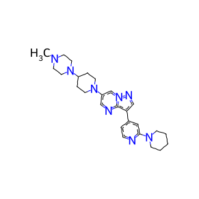 CN1CCN(C2CCN(c3cnc4c(-c5ccnc(N6CCCCC6)c5)cnn4c3)CC2)CC1